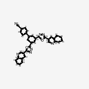 N#Cc1ccc(-c2cc(-c3nnc(-c4cnc5ccccc5c4)o3)cc(-c3nnc(-c4cnc5ccccc5c4)o3)c2)cc1